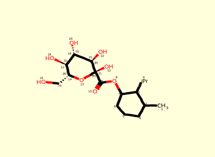 CC(C)C1C(C)CCCC1OC(=O)[C@]1(O)O[C@H](CO)[C@@H](O)[C@H](O)[C@H]1O